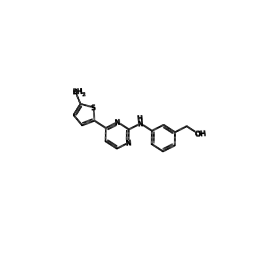 Bc1ccc(-c2ccnc(Nc3cccc(CO)c3)n2)s1